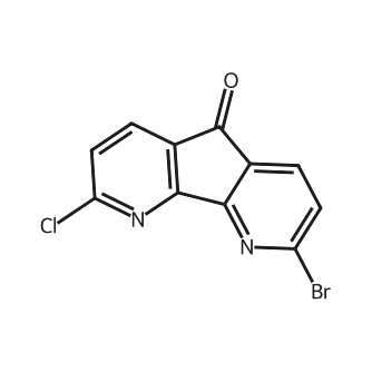 O=C1c2ccc(Cl)nc2-c2nc(Br)ccc21